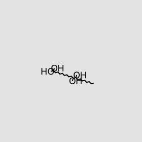 CCCCCCCCC(O)C(O)CCCCCCCCC(O)O